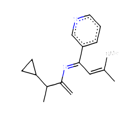 C=C(/N=C(\C=C(\C)NC)c1cccnc1)C(C)C1CC1